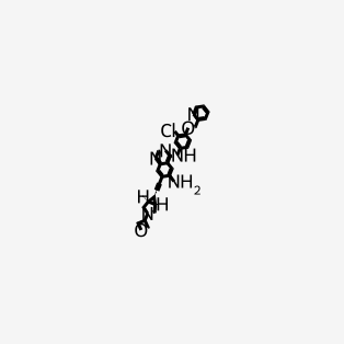 Nc1cc2c(Nc3ccc(OCc4ccccn4)c(Cl)c3)ncnc2cc1C#C[C@@H]1[C@H]2CN(C3COC3)C[C@@H]12